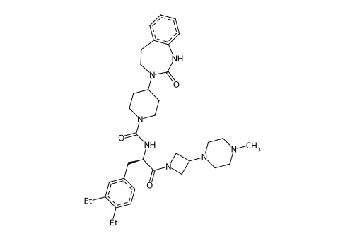 CCc1ccc(C[C@@H](NC(=O)N2CCC(N3CCc4ccccc4NC3=O)CC2)C(=O)N2CC(N3CCN(C)CC3)C2)cc1CC